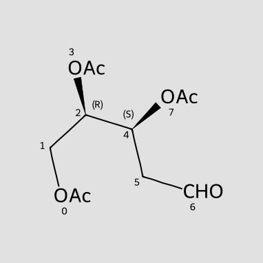 CC(=O)OC[C@@H](OC(C)=O)[C@H](CC=O)OC(C)=O